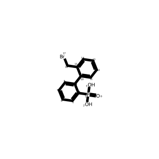 O=P(O)(O)c1ccccc1-c1ccccc1CBr